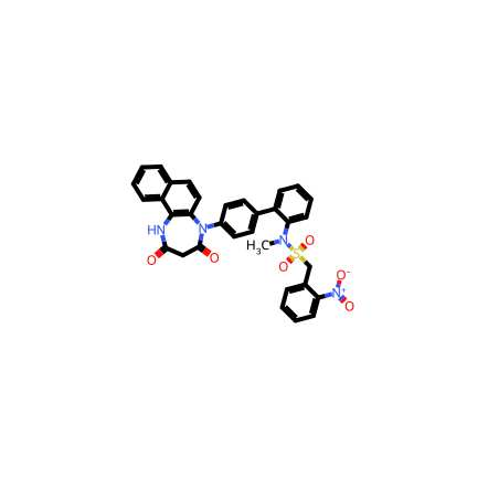 CN(c1ccccc1-c1ccc(N2C(=O)CC(=O)Nc3c2ccc2ccccc32)cc1)S(=O)(=O)Cc1ccccc1[N+](=O)[O-]